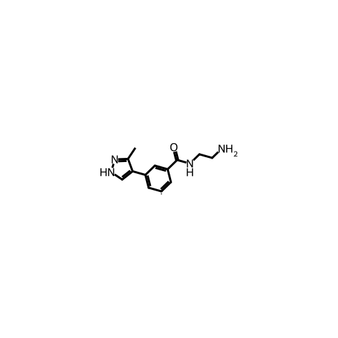 Cc1n[nH]cc1-c1c[c]cc(C(=O)NCCN)c1